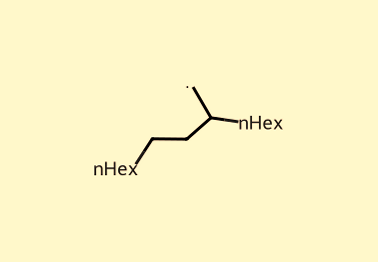 [CH2]CCCCCCCC([CH2])CCCCCC